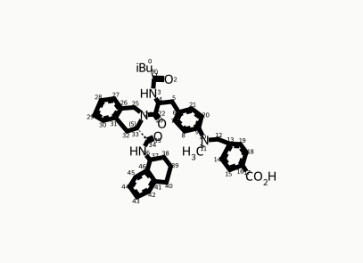 CC[C@@H](C)C(=O)NC(Cc1ccc(N(C)Cc2ccc(C(=O)O)cc2)cc1)C(=O)N1Cc2ccccc2C[C@H]1C(=O)NC1CCCc2ccccc21